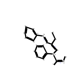 CCC(=C/N(/C(C)=N\C)c1ccccc1)/C=N/c1ccccc1